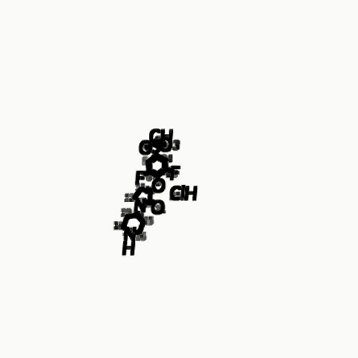 CS(=O)(=O)c1cc(F)c(OC2CCN(C3CCNCC3)C2=O)c(F)c1.Cl